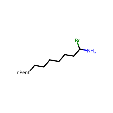 CCCCCCCCCCCC(N)Br